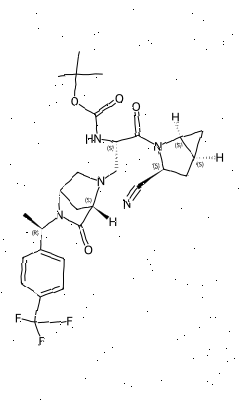 C[C@H](c1ccc(C(F)(F)F)cc1)N1C(=O)[C@@H]2CC1CN2C[C@H](NC(=O)OC(C)(C)C)C(=O)N1[C@H](C#N)C[C@@H]2C[C@@H]21